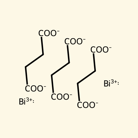 O=C([O-])CCC(=O)[O-].O=C([O-])CCC(=O)[O-].O=C([O-])CCC(=O)[O-].[Bi+3].[Bi+3]